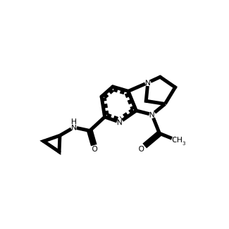 CC(=O)N1c2nc(C(=O)NC3CC3)ccc2N2CCC1C2